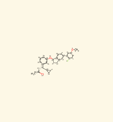 COc1ccc(F)c(-c2ccc3c(c2)CC[C@H]3Oc2cccc([C@@H](CC(C)=O)C3CC3)c2)c1